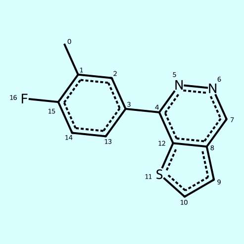 Cc1cc(-c2nncc3ccsc23)ccc1F